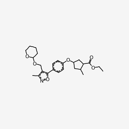 CCOC(=O)C1CC(Oc2ccc(-c3onc(C)c3COC3CCCCO3)cc2)CC1C